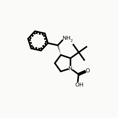 CC(C)(C)C1[C@@H](C(N)c2ccccc2)CCN1C(=O)O